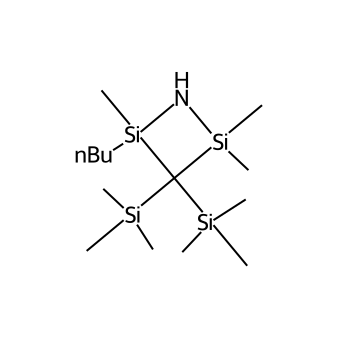 CCCC[Si]1(C)N[Si](C)(C)C1([Si](C)(C)C)[Si](C)(C)C